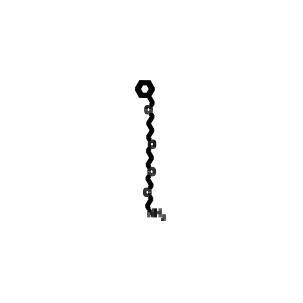 NCCOCCOCCCOCCCCOCc1ccccc1